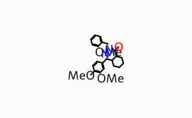 COc1ccccc1CN1N=C(c2ccc(OC)c(OC)c2)C2CCCCC2C1=O